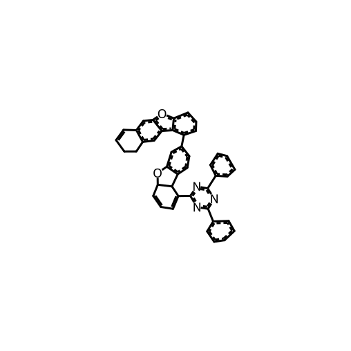 C1=CC2Oc3cc(-c4cccc5oc6cc7c(cc6c45)CCC=C7)ccc3C2C(c2nc(-c3ccccc3)nc(-c3ccccc3)n2)=C1